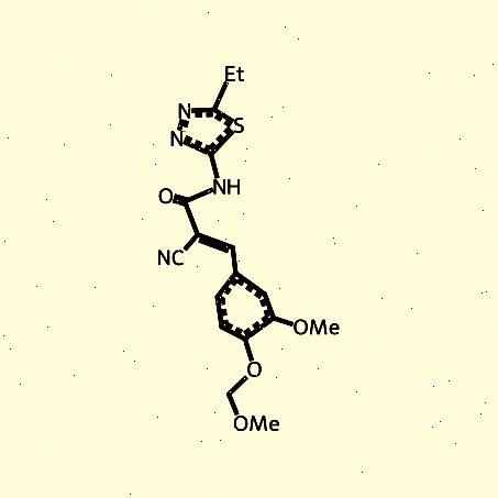 CCc1nnc(NC(=O)/C(C#N)=C/c2ccc(OCOC)c(OC)c2)s1